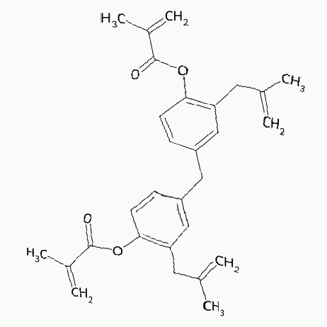 C=C(C)Cc1cc(Cc2ccc(OC(=O)C(=C)C)c(CC(=C)C)c2)ccc1OC(=O)C(=C)C